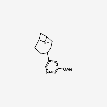 COc1cncc(C2CCC3CC(CC2)N3)c1